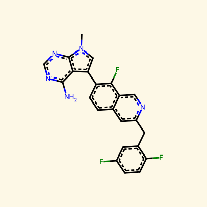 Cn1cc(-c2ccc3cc(Cc4cc(F)ccc4F)ncc3c2F)c2c(N)ncnc21